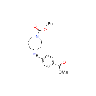 COC(=O)c1ccc(/C=C2/CCCN(C(=O)OC(C)(C)C)CC2)cc1